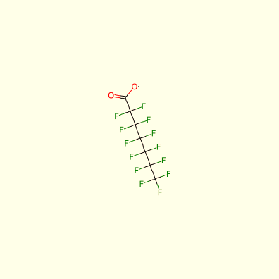 [O]C(=O)C(F)(F)C(F)(F)C(F)(F)C(F)(F)C(F)(F)C(F)(F)F